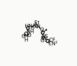 CCC1CN(CCOc2ccc(N3C(=S)N(c4ccc(C#N)c(C(F)(F)F)c4)C(=O)C3(C)C)cc2C2CC2)CCN1CC(=O)Nc1cccc(NC2CCC(=O)NC2=O)c1